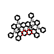 O=P12c3c4cccc3N(c3ccccc3)c3c1c(cc1ccccc31)N(c1ccccc1)c1c2c(cc2cc3c5c(c12)N(c1ccccc1)c1cc2ccccc2c2c1P5(=O)c1c(cccc1N2c1ccccc1)N3c1ccccc1)N4c1ccccc1